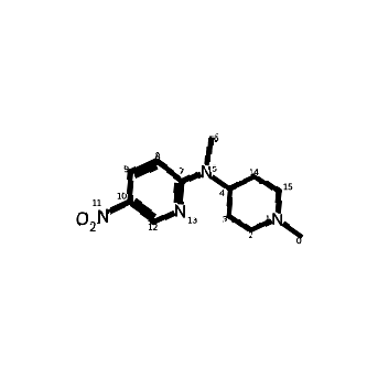 CN1CCC(N(C)c2ccc([N+](=O)[O-])cn2)CC1